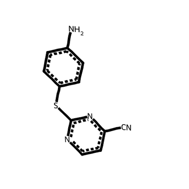 N#Cc1ccnc(Sc2ccc(N)cc2)n1